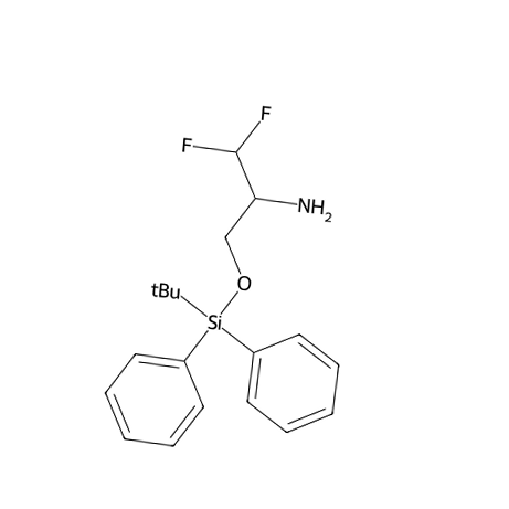 CC(C)(C)[Si](OCC(N)C(F)F)(c1ccccc1)c1ccccc1